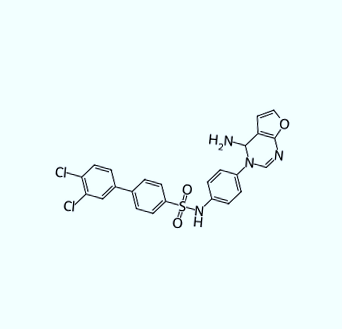 NC1c2ccoc2N=CN1c1ccc(NS(=O)(=O)c2ccc(-c3ccc(Cl)c(Cl)c3)cc2)cc1